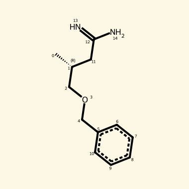 C[C@@H](COCc1ccccc1)CC(=N)N